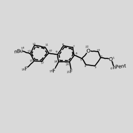 CCCCCOC1CCC(c2ccc(-c3ccc(CCCC)c(F)c3)c(F)c2F)OC1